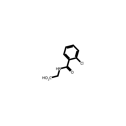 O=C(O)CNC(=O)c1ccccc1Cl